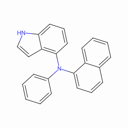 c1ccc(N(c2cccc3ccccc23)c2cccc3[nH]ccc23)cc1